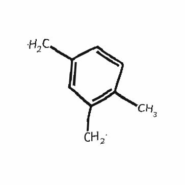 [CH2]c1ccc(C)c([CH2])c1